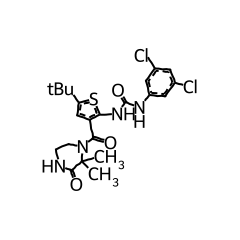 CC(C)(C)c1cc(C(=O)N2CCNC(=O)C2(C)C)c(NC(=O)Nc2cc(Cl)cc(Cl)c2)s1